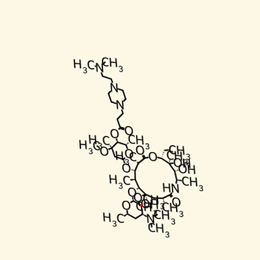 CC[C@H]1OC(=O)[C@H](C)[C@@H](O[C@H]2C[C@@](C)(OC)[C@@H](OC(=O)CCN3CCN(CCN(C)C)CC3)[C@H](C)O2)[C@H](C)[C@@H](O[C@@H]2O[C@H](C)C[C@H](N(C)C)[C@H]2O)[C@](C)(OC)C[C@@H](C)C(=O)N[C@H](C)[C@@H](O)[C@]1(C)O